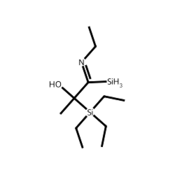 CCN=C([SiH3])C(C)(O)[Si](CC)(CC)CC